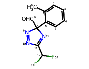 Cc1ccccc1C1(C=O)N=NC(C(F)F)=N1